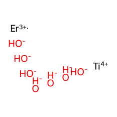 [Er+3].[OH-].[OH-].[OH-].[OH-].[OH-].[OH-].[OH-].[Ti+4]